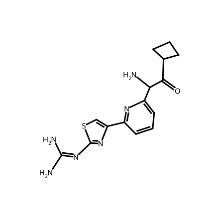 NC(N)=Nc1nc(-c2cccc(C(N)C(=O)C3CCC3)n2)cs1